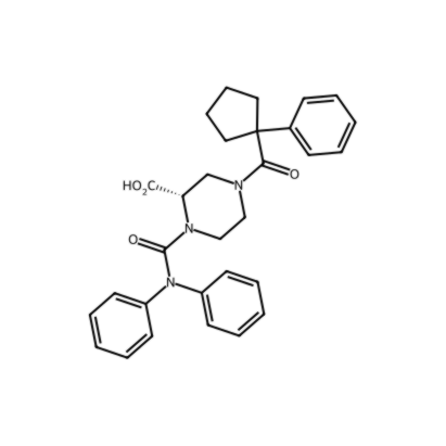 O=C(O)[C@@H]1CN(C(=O)C2(c3ccccc3)CCCC2)CCN1C(=O)N(c1ccccc1)c1ccccc1